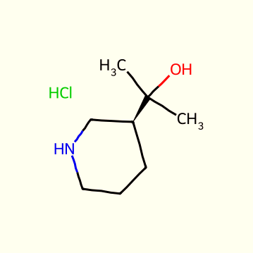 CC(C)(O)[C@H]1CCCNC1.Cl